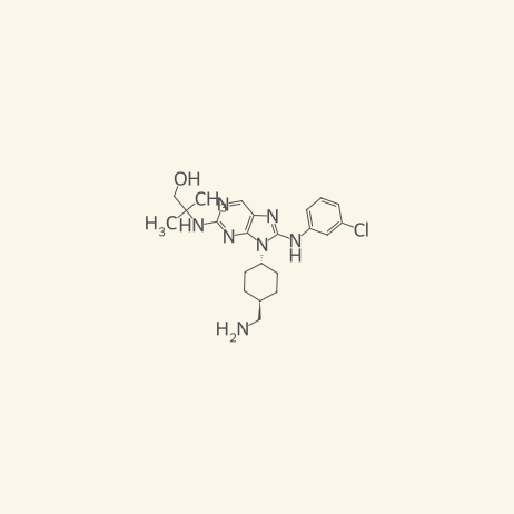 CC(C)(CO)Nc1ncc2nc(Nc3cccc(Cl)c3)n([C@H]3CC[C@H](CN)CC3)c2n1